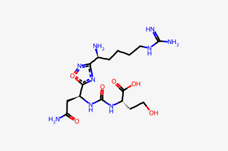 N=C(N)NCCCC[C@H](N)c1noc([C@H](CC(N)=O)NC(=O)N[C@@H](CCO)C(=O)O)n1